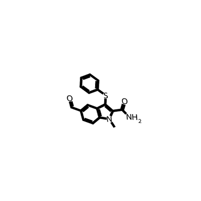 Cn1c(C(N)=O)c(Sc2ccccc2)c2cc(C=O)ccc21